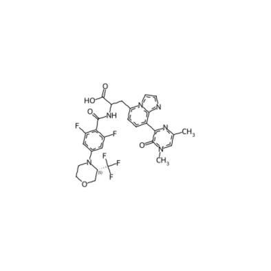 Cc1cn(C)c(=O)c(-c2ccc(CC(NC(=O)c3c(F)cc(N4CCOC[C@H]4C(F)(F)F)cc3F)C(=O)O)n3ccnc23)n1